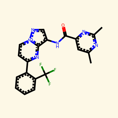 Cc1cc(C(=O)Nc2cnn3ccc(-c4ccccc4C(F)(F)F)nc23)nc(C)n1